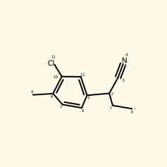 [CH2]CC(C#N)c1ccc(C)c(Cl)c1